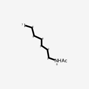 CC(=O)NCCCCCCI